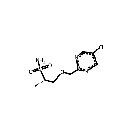 C[C@@H](COCc1ncc(Cl)cn1)S(N)(=O)=O